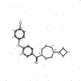 O=C(c1ccc(Sc2ccc(Cl)cc2)nc1)N1CCCN(C2CCC2)CC1